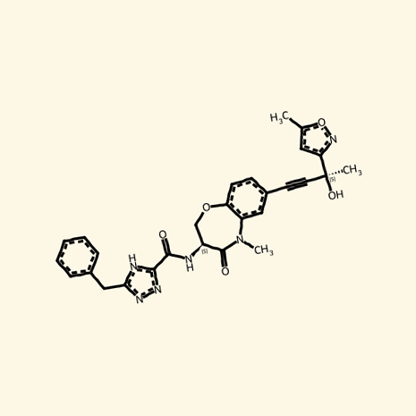 Cc1cc([C@@](C)(O)C#Cc2ccc3c(c2)N(C)C(=O)[C@@H](NC(=O)c2nnc(Cc4ccccc4)[nH]2)CO3)no1